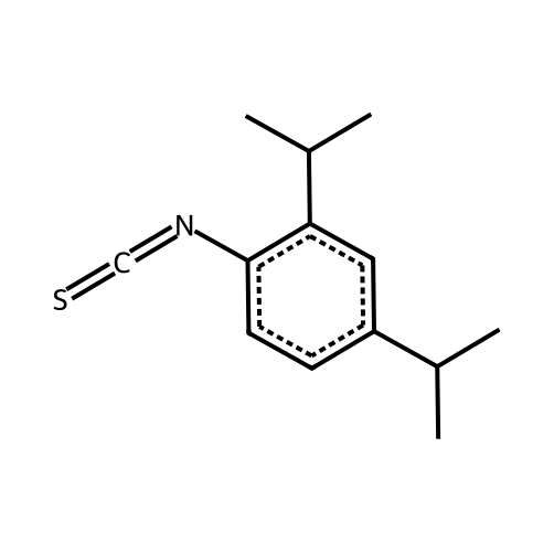 CC(C)c1ccc(N=C=S)c(C(C)C)c1